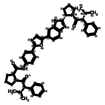 CN(C)[C@@H](C(=O)N1CCCC1C(=O)Nc1ccc(-c2ncc(-c3ccc4nc([C@@H]5CCCN5C(=O)[C@@H](c5ccccc5)N(C)C)[nH]c4c3)o2)cc1)c1ccccc1